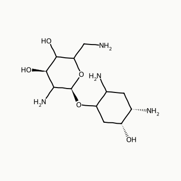 NCC1O[C@@H](OC2C[C@@H](O)[C@@H](N)CC2N)C(N)[C@@H](O)C1O